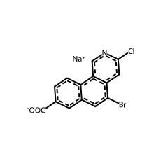 O=C([O-])c1ccc2c(c1)cc(Br)c1cc(Cl)ncc12.[Na+]